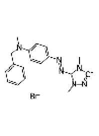 CN(Cc1ccccc1)c1ccc(N=NC2N(C)[C+]=NN2C)cc1.[Br-]